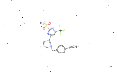 C#Cc1ccc(CN2C=C(c3cc(C(F)(F)F)nc(S(C)(=O)=O)n3)C=CC2)cc1